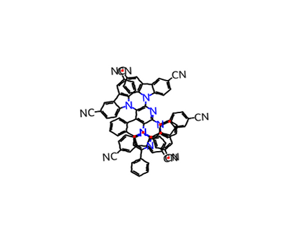 N#Cc1ccc2c(c1)c1cc(C#N)ccc1n2-c1nc(-n2c3ccc(C#N)cc3c3cc(C#N)ccc32)c(-n2c3ccc(C#N)cc3c3cc(C#N)ccc32)c(-c2ccccc2-c2cc(-c3ccccc3)nc(-c3ccccc3)n2)c1-n1c2ccc(C#N)cc2c2cc(C#N)ccc21